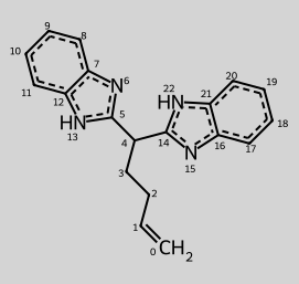 C=CCCC(c1nc2ccccc2[nH]1)c1nc2ccccc2[nH]1